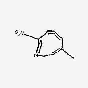 O=[N+]([O-])c1ccc(I)cn1